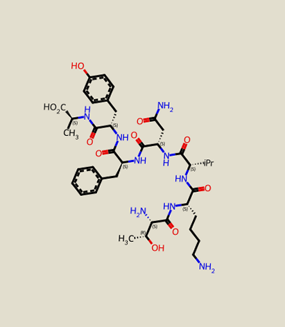 CC(C)[C@H](NC(=O)[C@H](CCCCN)NC(=O)[C@@H](N)[C@@H](C)O)C(=O)N[C@@H](CC(N)=O)C(=O)N[C@@H](Cc1ccccc1)C(=O)N[C@@H](Cc1ccc(O)cc1)C(=O)N[C@@H](C)C(=O)O